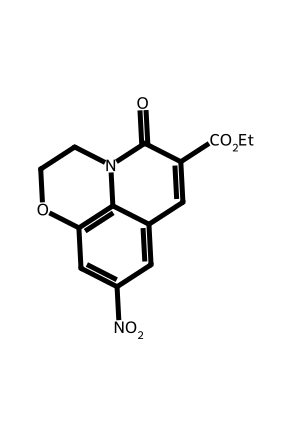 CCOC(=O)c1cc2cc([N+](=O)[O-])cc3c2n(c1=O)CCO3